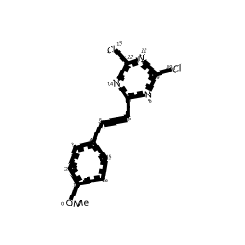 COc1ccc(C=Cc2nc(Cl)nc(Cl)n2)cc1